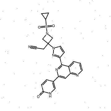 N#CCC1(n2ccc(-c3nc(-c4ccc(=O)[nH]c4)cc4ncccc34)n2)CN(S(=O)(=O)C2CC2)C1